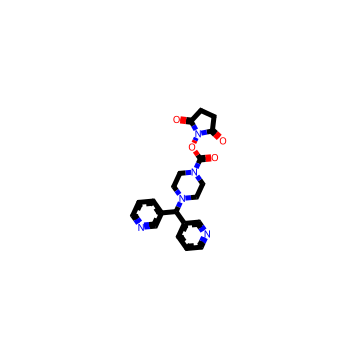 O=C(ON1C(=O)CCC1=O)N1CCN(C(c2cccnc2)c2cccnc2)CC1